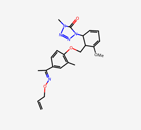 C=CCON=C(C)c1ccc(OCC2C(OC)=CC=CC2n2nnn(C)c2=O)c(C)c1